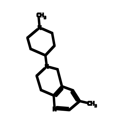 Cc1cnc2c(c1)CN(C1CCN(C)CC1)CC2